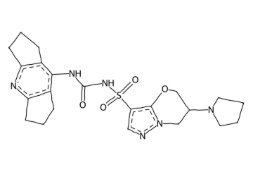 O=C(Nc1c2c(nc3c1CCC3)CCC2)NS(=O)(=O)c1cnn2c1OCC(N1CCCC1)C2